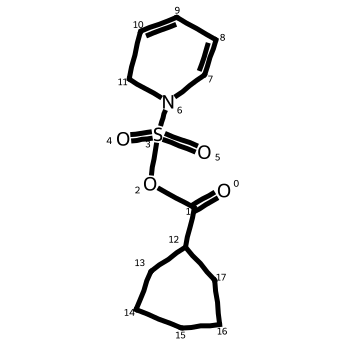 O=C(OS(=O)(=O)N1C=CC=CC1)C1CCCCC1